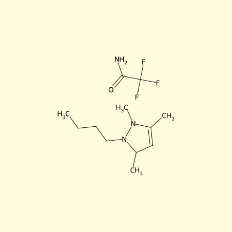 CCCCN1C(C)C=C(C)N1C.NC(=O)C(F)(F)F